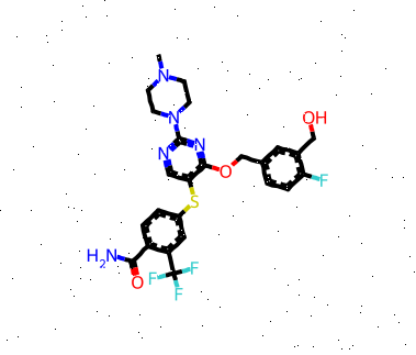 CN1CCN(c2ncc(Sc3ccc(C(N)=O)c(C(F)(F)F)c3)c(OCc3ccc(F)c(CO)c3)n2)CC1